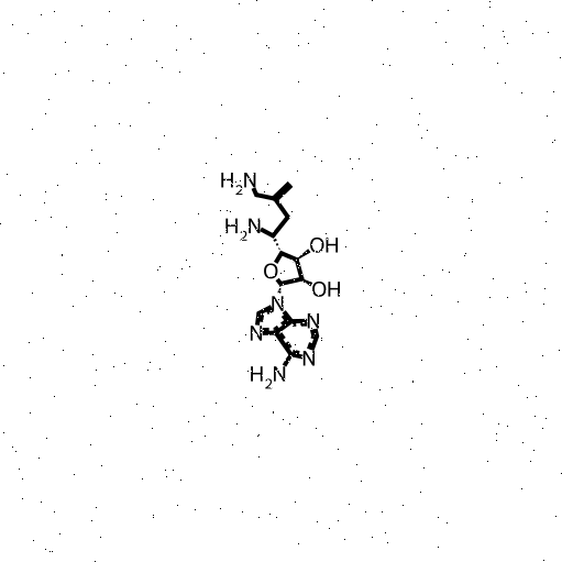 C=C(CN)CC(N)[C@H]1O[C@@H](n2cnc3c(N)ncnc32)[C@H](O)[C@@H]1O